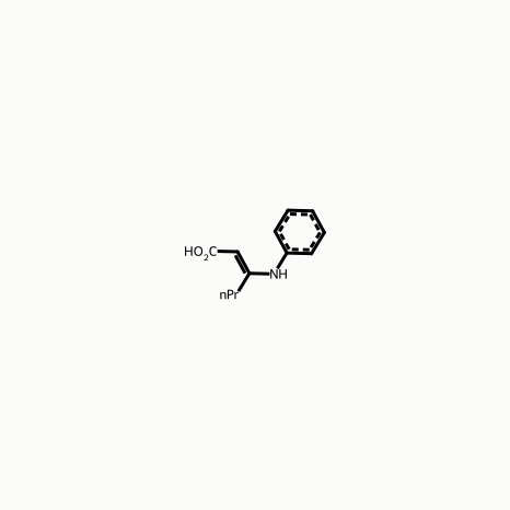 CCCC(=CC(=O)O)Nc1ccccc1